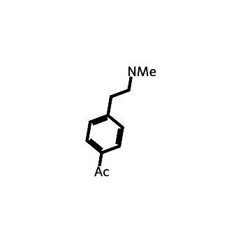 CNCCc1ccc(C(C)=O)cc1